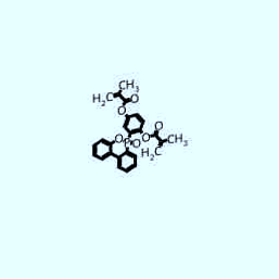 C=C(C)C(=O)Oc1ccc(OC(=O)C(=C)C)c(P2(=O)Oc3ccccc3-c3ccccc32)c1